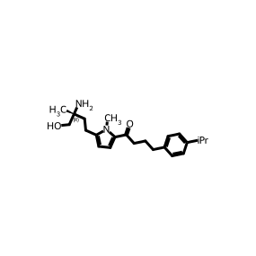 CC(C)c1ccc(CCCC(=O)c2ccc(CC[C@@](C)(N)CO)n2C)cc1